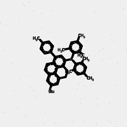 Cc1ccc(-c2cc(B(c3c(C)cc(C)cc3C)c3c(C)cc(C)cc3C)c3c4c2ccc2cc(C(C)(C)C)cc(c24)CC3)cc1